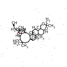 C#CCOC[C@]1(C)[C@H]2C[C@]3(C)C(=CCC4[C@@]5(C)CC[C@@H]6OC(C)(C)OC[C@]6(C)C5CC[C@]43C)CCC(C)(C)[C@@H](O)[C@@H]1OC(C)(C)O2